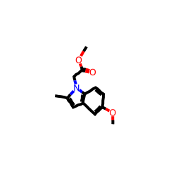 COC(=O)Cn1c(C)cc2cc(OC)ccc21